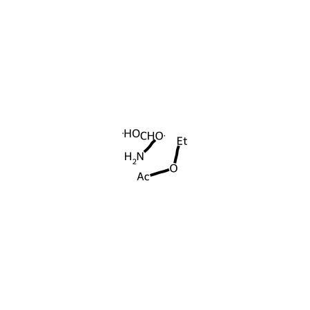 CCOC(C)=O.N[C]=O.[OH]